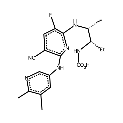 CC[C@H](NC(=O)O)[C@@H](C)Nc1nc(Nc2cnc(C)c(C)c2)c(C#N)cc1F